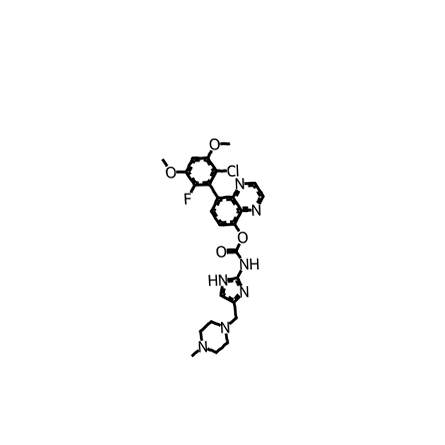 COc1cc(OC)c(Cl)c(-c2ccc(OC(=O)Nc3nc(CN4CCN(C)CC4)c[nH]3)c3nccnc23)c1F